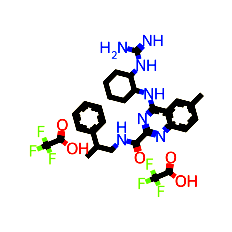 Cc1ccc2nc(C(=O)NCC(C)c3ccccc3)nc(NC3CCCCC3NC(=N)N)c2c1.O=C(O)C(F)(F)F.O=C(O)C(F)(F)F